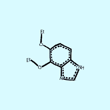 CCOc1ccc2[nH][c]nc2c1OCC